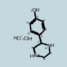 Cl.Cl.Oc1ccc(C2CNCCN2)cc1